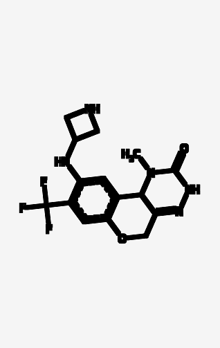 CN1C(=O)NN=C2COc3cc(C(F)(F)F)c(NC4CNC4)cc3C21